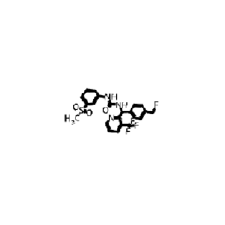 CS(=O)(=O)c1cccc(NC(=O)N[C@@H](c2ccc(CF)cc2)c2ncccc2C(F)(F)F)c1